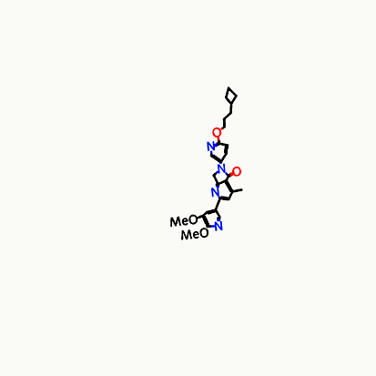 COc1cc(-c2cc(C)c3c(n2)CN(c2ccc(OCCCC4CCC4)nc2)C3=O)cnc1OC